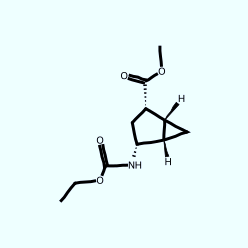 CCOC(=O)N[C@@H]1C[C@H](C(=O)OC)[C@@H]2C[C@@H]21